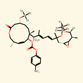 CC[C@H](O[Si](CC)(CC)CC)[C@@H](C)[C@H]1O[C@@H]1CC(C)(/C=C/C=C(\C)[C@H](C(=O)O)[C@@]1(C)CC[C@@H](O[Si](CC)(CC)CC)CC(=O)OC[C@@H](C)C=C[C@@H]1OC(=O)Oc1ccc([N+](=O)[O-])cc1)O[Si](CC)(CC)CC